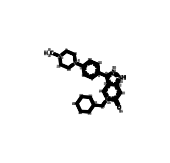 CN1CCN(c2ccc(-c3n[nH]c4cc(=O)n(CC5CCCCC5)cc34)cc2)CC1